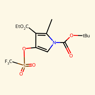 CCOC(=O)c1c(OS(=O)(=O)C(F)(F)F)cn(C(=O)OC(C)(C)C)c1C